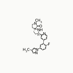 Cc1cnn(-c2ccc(F)c(-c3ccnc([C@H]4CC[C@@]5(CCN(C)C5=O)N4)c3)c2)c1